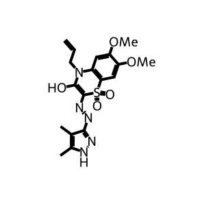 C=CCN1C(O)=C(N=Nc2n[nH]c(C)c2C)S(=O)(=O)c2cc(OC)c(OC)cc21